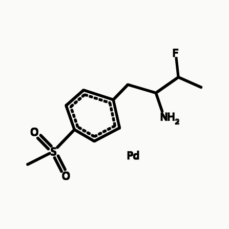 CC(F)C(N)Cc1ccc(S(C)(=O)=O)cc1.[Pd]